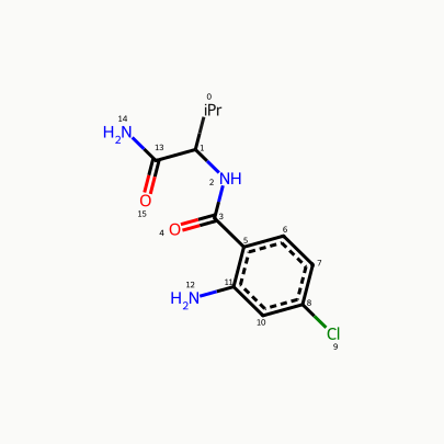 CC(C)C(NC(=O)c1ccc(Cl)cc1N)C(N)=O